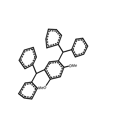 COc1cc(OC)c(C(c2ccccc2)c2ccccc2)cc1C(c1ccccc1)c1ccccc1